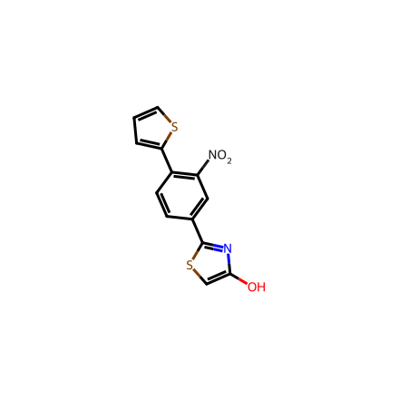 O=[N+]([O-])c1cc(-c2nc(O)cs2)ccc1-c1cccs1